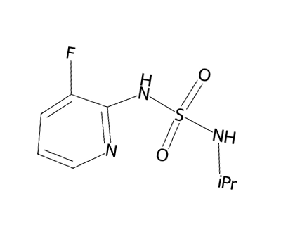 CC(C)NS(=O)(=O)Nc1ncccc1F